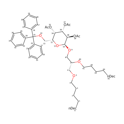 CCCCCCCCCCCCCCOC[C@H](CO[C@H]1O[C@H](COC(c2ccccc2)(c2ccccc2)c2ccccc2)[C@H](OC(C)=O)[C@H](OC(C)=O)[C@H]1OC(C)=O)OCCCCCCCCCCCCCC